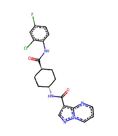 O=C(N[C@H]1CC[C@H](C(=O)Nc2ccc(F)cc2Cl)CC1)c1cnn2cccnc12